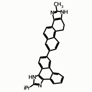 Cc1nc2c([nH]1)CCc1c-2ccc2cc(-c3ccc4c(c3)c3ccccc3c3nc(C(C)C)[nH]c43)ccc12